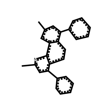 Cc1cc(-c2ccccc2)c2ccc3c(-c4ccccc4)cc(C)nc3c2c1